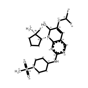 C[C@@]1(F)CCC[C@H]1N1c2nc(NC3CCN(S(C)(=O)=O)CC3)ncc2C=C(OC(F)F)C1O